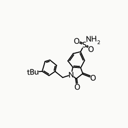 CC(C)(C)c1cccc(CN2C(=O)C(=O)c3cc(S(N)(=O)=O)ccc32)c1